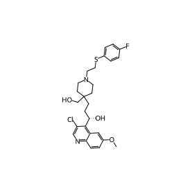 COc1ccc2ncc(Cl)c([C@@H](O)CCC3(CO)CCN(CCSc4ccc(F)cc4)CC3)c2c1